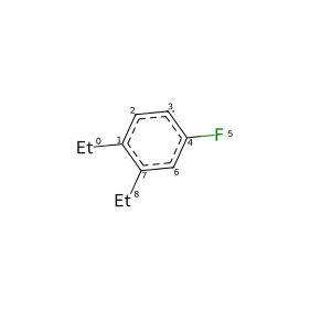 CCc1c[c]c(F)cc1CC